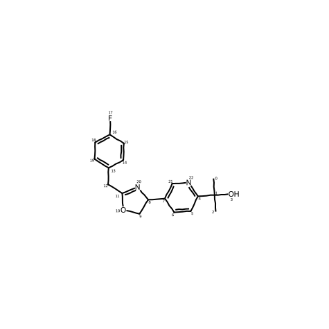 CC(C)(O)c1ccc(C2COC(Cc3ccc(F)cc3)=N2)cn1